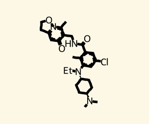 CCN(c1cc(Cl)cc(C(=O)NCc2c(C)n3c(cc2=O)CCO3)c1C)[C@H]1CC[C@H](N(C)C)CC1